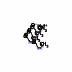 CC/C=C\C/C=C\C/C=C\CCCCCCCC(=O)[O-].CC/C=C\C/C=C\C/C=C\CCCCCCCC(=O)[O-].CC/C=C\C/C=C\C/C=C\CCCCCCCC(=O)[O-].CC/C=C\C/C=C\C/C=C\CCCCCCCC(=O)[O-].[Pb+4]